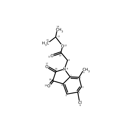 Cc1cc(Cl)cc2c1N(CC(=O)OC(C)C)C(=O)C2=O